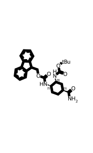 CC(C)(C)OC(=O)N[C@@H]1C[C@@H](C(N)=O)CC[C@@H]1NC(=O)OCC1c2ccccc2-c2ccccc21